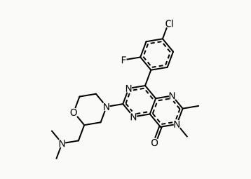 Cc1nc2c(-c3ccc(Cl)cc3F)nc(N3CCOC(CN(C)C)C3)nc2c(=O)n1C